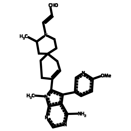 COc1ccc(-c2c(C3=CCC4(CC3)CCN(C=CC=O)C(C)C4)n(C)c3ncnc(N)c23)cn1